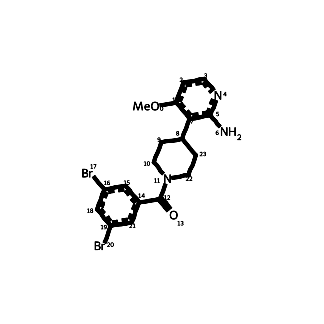 COc1ccnc(N)c1C1CCN(C(=O)c2cc(Br)cc(Br)c2)CC1